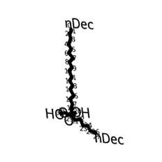 CCCCCCCCCCCCCCCCCCCCCCCCCCCCC(O)(CCCCCCCCCCCCCCCC)C(=O)OO